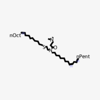 CCCCC/C=C\C/C=C\CCCCCCCCN(CCSCCCCCCCC/C=C\CCCCCCCC)C(=O)CCN(C)C